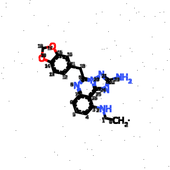 [CH2][CH]Nc1cccc2nc(Cc3ccc4c(c3)OCO4)n3nc(N)nc3c12